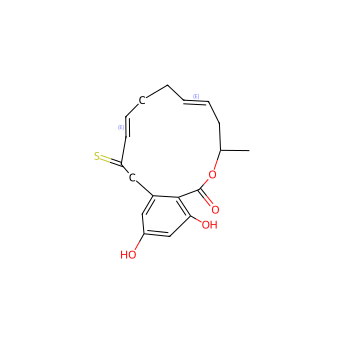 CC1C/C=C/CC/C=C/C(=S)Cc2cc(O)cc(O)c2C(=O)O1